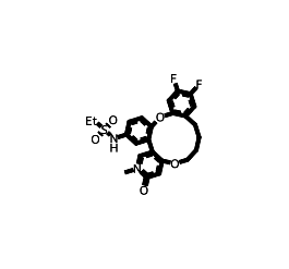 CCS(=O)(=O)Nc1ccc2c(c1)-c1cn(C)c(=O)cc1OCCCCc1cc(F)c(F)cc1O2